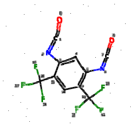 O=C=Nc1cc(N=C=O)c(C(F)(F)F)cc1C(F)(F)F